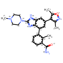 Cc1noc(C)c1-c1cc(-c2cccc(C(N)=O)c2C)c2nc(N3CCN(C)CC3)[nH]c2c1